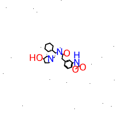 CN(C(=O)Cc1ccc2oc(=O)[nH]c2c1)[C@H](CN1CC[C@H](O)C1)C1CCCCC1